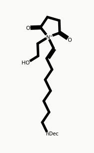 CCCCCCCCCCCCCCCCC=C[N+]1(CCO)C(=O)CCC1=O